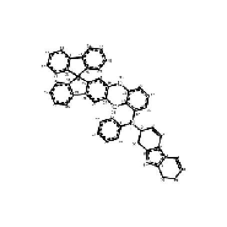 C1=Cc2c(sc3c2C=CC(N(c2ccccc2)c2cccc4c2Oc2cc5c(cc2O4)C2(c4ccccc4-c4ccccc42)c2ccccc2-5)C3)CC1